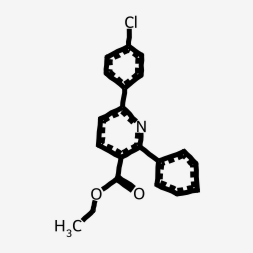 CCOC(=O)c1ccc(-c2ccc(Cl)cc2)nc1-c1ccccc1